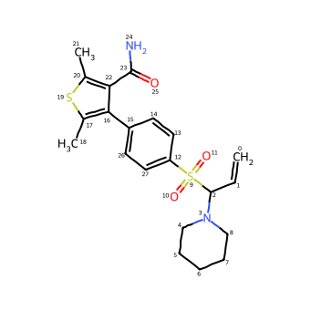 C=CC(N1CCCCC1)S(=O)(=O)c1ccc(-c2c(C)sc(C)c2C(N)=O)cc1